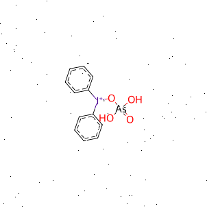 O=[As](O)(O)O[I+](c1ccccc1)c1ccccc1